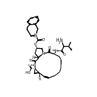 CC(C)C(N)C(=O)N[C@H]1CCCCCC=C[C@@H]2C[C@@]2(C(=O)O)NC(=O)[C@@H]2C[C@@H](OC(=O)N3CCc4ccccc4C3)CN2C1=O